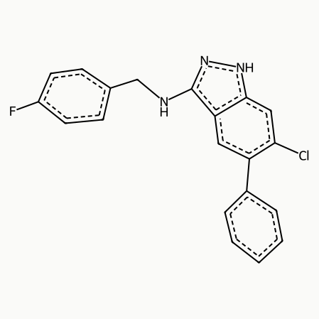 Fc1ccc(CNc2n[nH]c3cc(Cl)c(-c4ccccc4)cc23)cc1